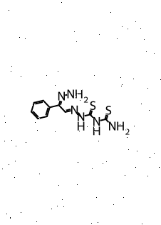 NN=C(C=NNC(=S)NC(N)=S)c1ccccc1